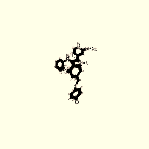 CC(=O)NC1C=C(c2[nH]c3c(c2N(N)c2ccccc2)C(=O)CC(CSc2ccc(Cl)cc2)C3)C=CN1